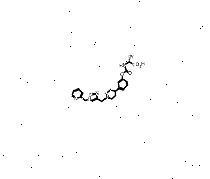 CC(C)[C@H](NC(=O)Oc1cccc(C2CCN(Cc3cn(Cc4ccccn4)nn3)CC2)c1)C(=O)O